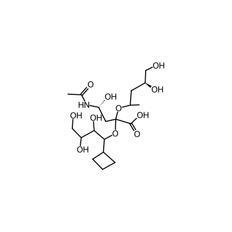 CC(=O)N[C@H](O)CC(OC(C)C[C@H](O)CO)(OC(C1CCC1)C(O)C(O)CO)C(=O)O